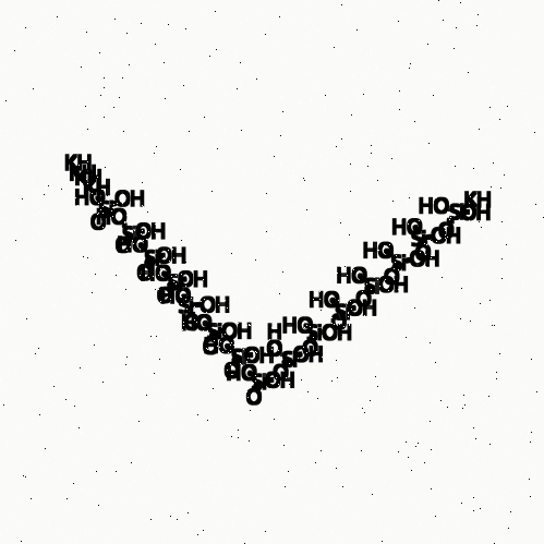 O=[Si](O)O.O=[Si](O)O.O=[Si](O)O.O=[Si](O)O.O=[Si](O)O.O=[Si](O)O.O=[Si](O)O.O=[Si](O)O.O=[Si](O)O.O=[Si](O)O.O=[Si](O)O.O=[Si](O)O.O=[Si](O)O.O=[Si](O)O.O=[Si](O)O.[KH].[KH].[KH].[KH].[KH]